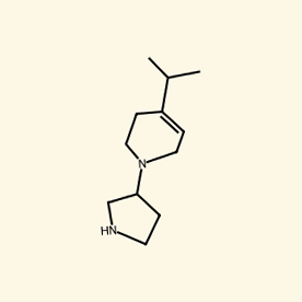 CC(C)C1=CCN(C2CCNC2)CC1